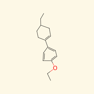 CCOc1ccc(C2=CCC(CC)CC2)cc1